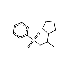 CC(OS(=O)(=O)c1ccccc1)C1CCCC1